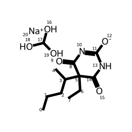 CCCC(C)C1(CC)C(=O)N=C([O-])NC1=O.OC(O)O.[Na+]